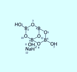 O.OB1OB2OB(O)OB(O1)O2.[NaH]